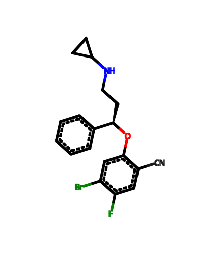 N#Cc1cc(F)c(Br)cc1O[C@H](CCNC1CC1)c1ccccc1